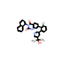 CC(C)(O)c1cncc(-c2cccc(Cl)c2-c2ccc3c(=O)n(-c4cccc5ccccc45)c(=O)[nH]c3c2)c1